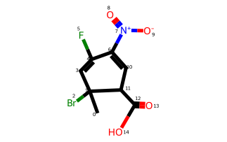 CC1(Br)C=C(F)C([N+](=O)[O-])=CC1C(=O)O